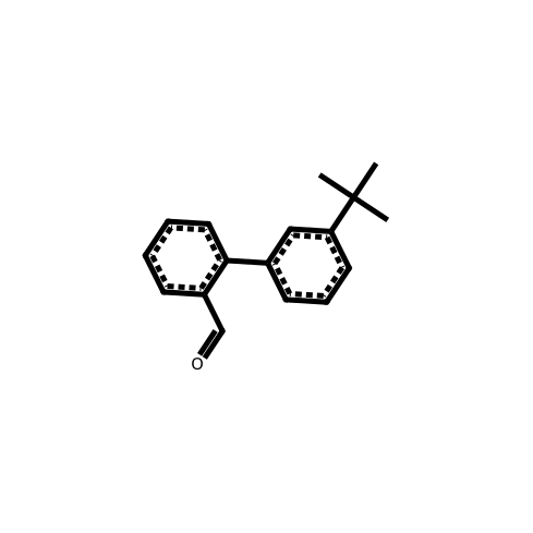 CC(C)(C)c1cccc(-c2ccccc2C=O)c1